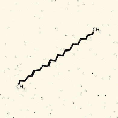 CCCCC=CCCC=CCCCC=CCCCCCCC